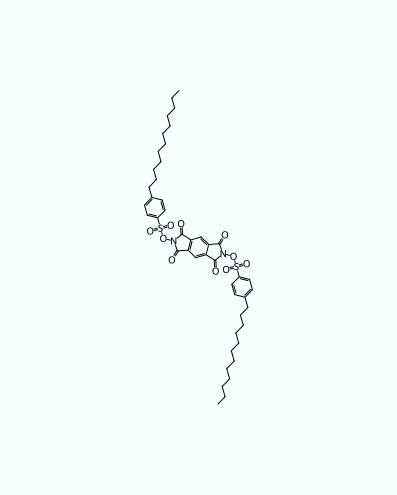 CCCCCCCCCCCCc1ccc(S(=O)(=O)On2c(=O)c3cc4c(=O)n(OS(=O)(=O)c5ccc(CCCCCCCCCCCC)cc5)c(=O)c4cc3c2=O)cc1